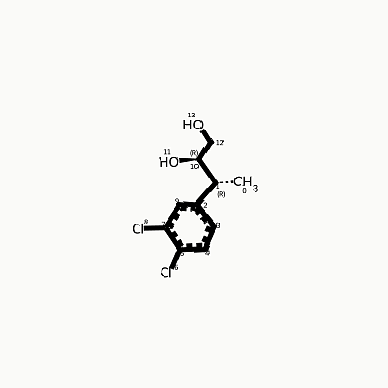 C[C@H](c1ccc(Cl)c(Cl)c1)[C@@H](O)CO